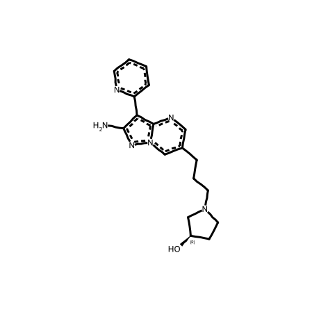 Nc1nn2cc(CCCN3CC[C@@H](O)C3)cnc2c1-c1ccccn1